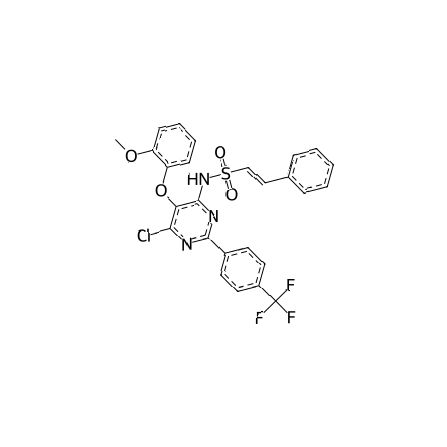 COc1ccccc1Oc1c(Cl)nc(-c2ccc(C(F)(F)F)cc2)nc1NS(=O)(=O)C=Cc1ccccc1